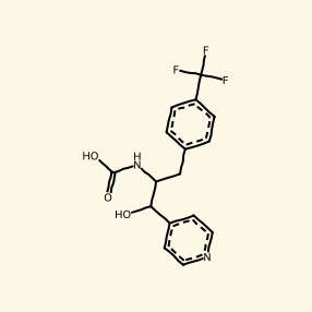 O=C(O)NC(Cc1ccc(C(F)(F)F)cc1)C(O)c1ccncc1